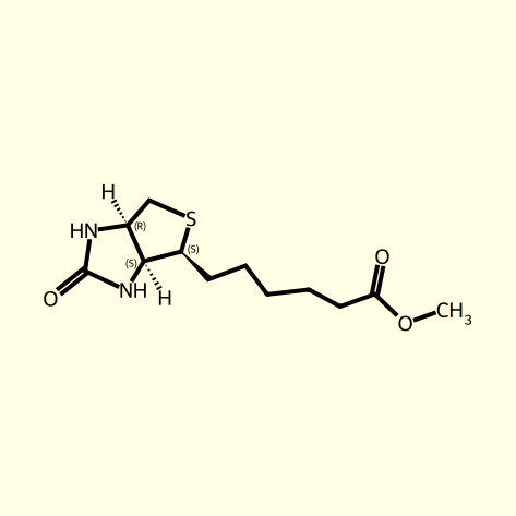 COC(=O)CCCCC[C@@H]1SC[C@@H]2NC(=O)N[C@@H]21